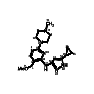 COCc1cnc(N2CCN(C)CC2)nc1Nc1cc(C2CC2)[nH]n1